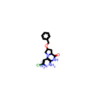 NC1=C(/C=C(\N)Cl)N2CC(OCc3ccccc3)CC2C(=O)N1